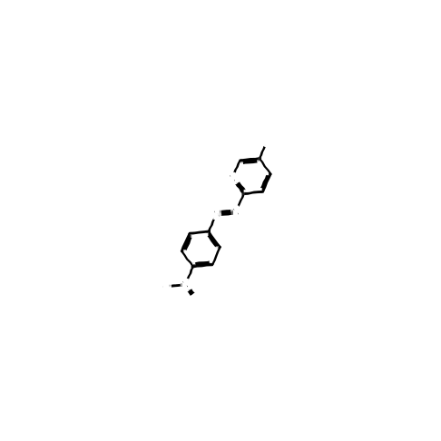 O=[N+]([O-])c1ccc(N=Nc2ccc(O)cn2)cc1